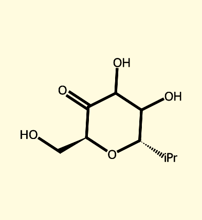 CC(C)[C@@H]1O[C@@H](CO)C(=O)C(O)C1O